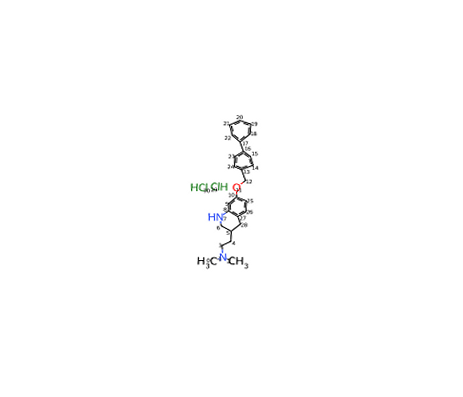 CN(C)CCC1CNc2cc(OCc3ccc(-c4ccccc4)cc3)ccc2C1.Cl.Cl